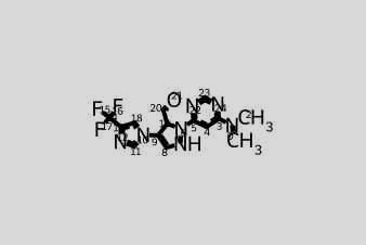 CN(C)c1cc(N2NC=C(n3cnc(C(F)(F)F)c3)C2C=O)ncn1